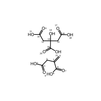 C=C(CC(=O)O)C(=O)O.O=C(O)CC(O)(CC(=O)O)C(=O)O